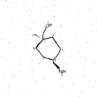 C[C@]1(O)CC[C@@H]([NH])CC1